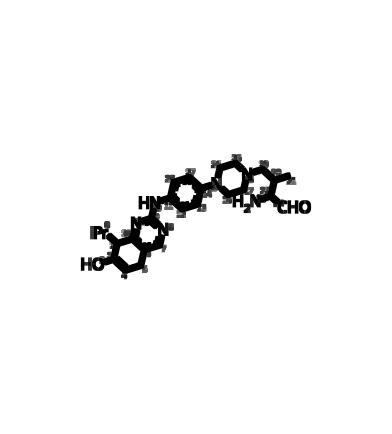 CC(C)C1C(O)=CCc2cnc(Nc3ccc(N4CCN(CC(C)C(N)C=O)CC4)cc3)nc21